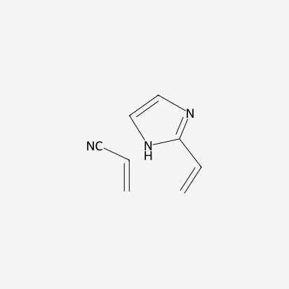 C=CC#N.C=Cc1ncc[nH]1